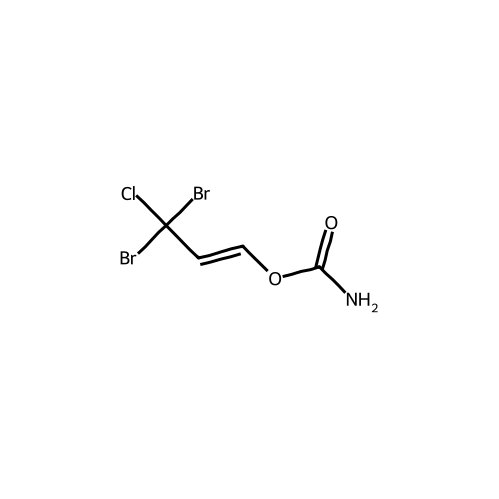 NC(=O)OC=CC(Cl)(Br)Br